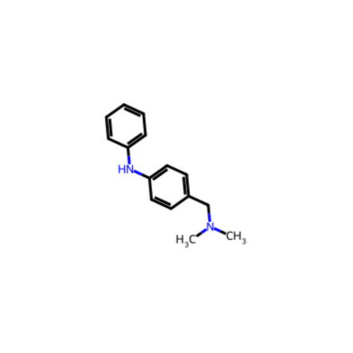 CN(C)Cc1ccc(Nc2ccccc2)cc1